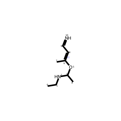 CCNC(C)O/C(C)=C/C=N